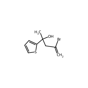 C=C(Br)CC(C)(O)c1cccs1